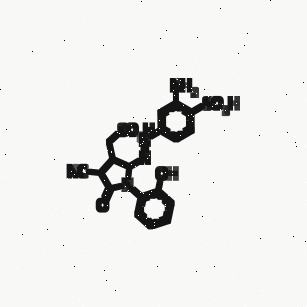 N#CC1C(=O)N(c2ccccc2O)C(N=Nc2ccc(S(=O)(=O)O)c(N)c2)C1CS(=O)(=O)O